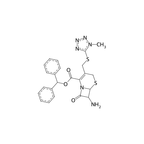 Cn1nnnc1SCC1=C(C(=O)OC(c2ccccc2)c2ccccc2)N2C(=O)C(N)C2SC1